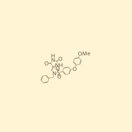 COc1ccc(Oc2ccc(S(=O)(=O)N(Cc3ccccc3)C[C@@H]3NC(=O)NC3=O)cc2)cc1